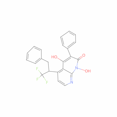 O=c1c(-c2ccccc2)c(O)c2c(C(Cc3ccccc3)C(F)(F)F)ccnc2n1O